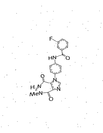 CNC(=O)c1ncn(-c2ccc(NC(=O)c3cccc(F)c3)cc2)c1C(N)=O